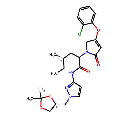 CC[C@H](C)CC(C(=O)Nc1ccn(C[C@@H]2COC(C)(C)O2)n1)N1CC(Oc2ccccc2Cl)=CC1=O